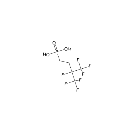 O=P(O)(O)CCC(F)(C(F)(F)F)C(F)(F)F